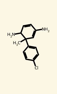 CC1(c2ccc(Cl)cc2)C=C(N)C=CC1N